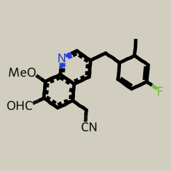 COc1c(C=O)cc(CC#N)c2cc(CC3C=CC(F)=CC3C)cnc12